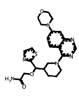 NC(=O)COC(c1nccs1)C1CCCN(c2ncnc3cc(N4CCOCC4)ccc23)C1